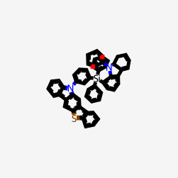 C1=CCC2C(=C1)c1cccc([Si](c3ccccc3)(c3ccccc3)c3cccc(-n4c5ccccc5c5cc6sc7ccccc7c6cc54)c3)c1N2c1ccccc1